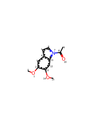 COc1cc2ccn(C(C)=O)c2cc1OC